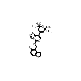 CC1(C)C=C(c2cnc(NCc3c(F)ccc4c3CCO4)n3cnnc23)CC(C)(C)O1